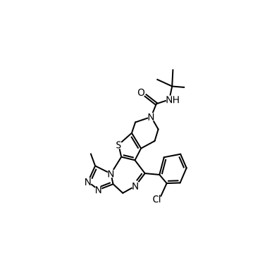 Cc1nnc2n1-c1sc3c(c1C(c1ccccc1Cl)=NC2)CCN(C(=O)NC(C)(C)C)C3